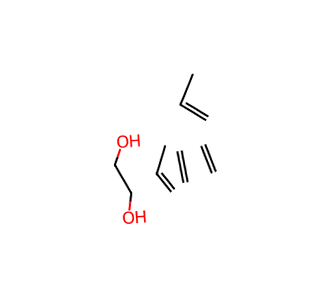 C=C.C=C.C=CC.C=CC.OCCO